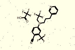 N#Cc1ccc(N(CCCc2cccnc2)CC(F)(F)F)cc1C(F)(F)F.O=C(O)C(F)(F)F